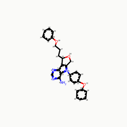 Nc1ncnc2c3c(n(-c4ccc(Oc5ccccc5)cc4)c12)COC3CCCOc1ccccc1